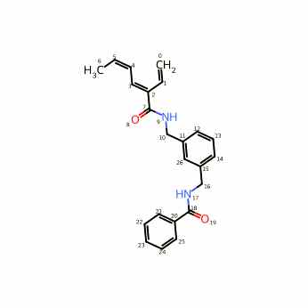 C=C/C(=C\C=C/C)C(=O)NCc1cccc(CNC(=O)c2ccccc2)c1